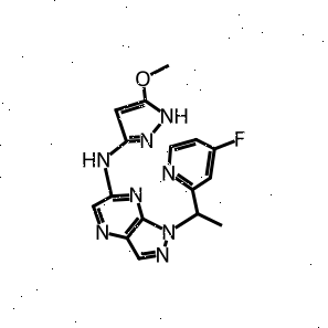 COc1cc(Nc2cnc3cnn(C(C)c4cc(F)ccn4)c3n2)n[nH]1